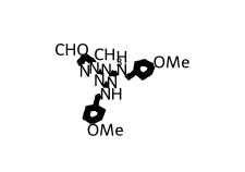 COc1ccc(CNc2nc(NCc3ccc(OC)cc3)nc(-n3ncc(C=O)c3C)n2)cc1